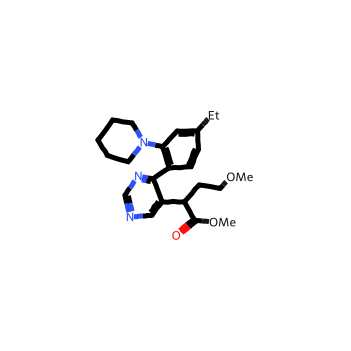 CCc1ccc(-c2ncncc2C(CCOC)C(=O)OC)c(N2CCCCC2)c1